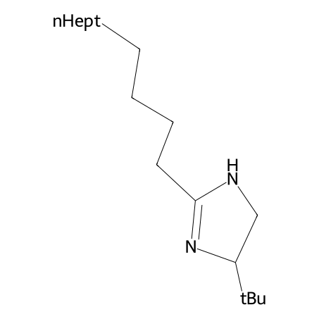 CCCCCCCCCCCC1=NC(C(C)(C)C)CN1